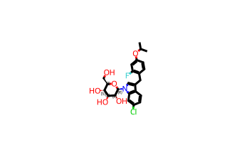 CC(C)Oc1ccc(Cc2cn([C@@H]3O[C@H](CO)[C@@H](O)[C@H](O)[C@H]3O)c3cc(Cl)ccc23)c(F)c1